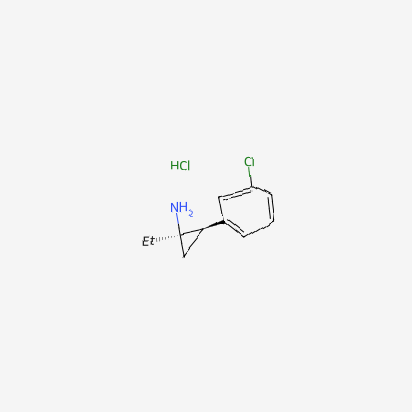 CC[C@@]1(N)C[C@@H]1c1cccc(Cl)c1.Cl